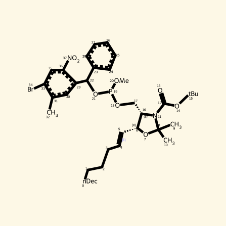 CCCCCCCCCCCCC/C=C/[C@H]1OC(C)(C)N(C(=O)OC(C)(C)C)[C@H]1COP(OC)OC(c1ccccc1)c1cc(C)c(Br)cc1[N+](=O)[O-]